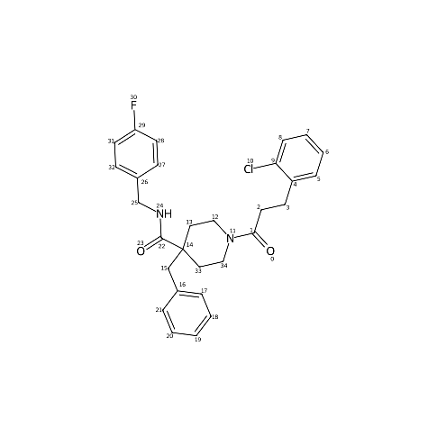 O=C(CCc1ccccc1Cl)N1CCC(Cc2ccccc2)(C(=O)NCc2ccc(F)cc2)CC1